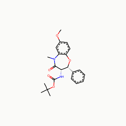 COc1ccc2c(c1)N(C)C(=O)[C@@H](NC(=O)OC(C)(C)C)[C@@H](c1ccccc1)O2